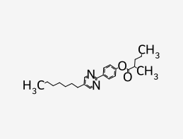 CCCCCCCc1cnc(-c2ccc(OC(=O)C(C)CCC)cc2)nc1